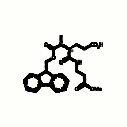 COC(=O)CCNC(=O)[C@H](CCC(=O)O)N(C)C(=O)OCC1c2ccccc2-c2ccccc21